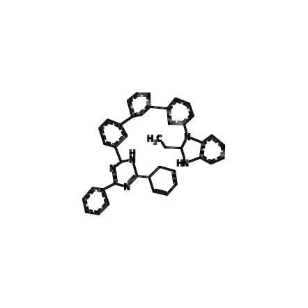 CCC1Nc2ccccc2N1c1cccc(-c2cccc(-c3cccc(C4N=C(c5ccccc5)N=C(C5C=CC=CC5)N4)c3)c2)c1